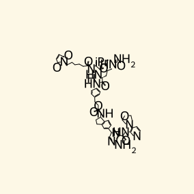 CC(C)[C@H](NC(=O)CCCCCN1C(=O)C=CC1=O)C(=O)N[C@@H](CCCNC(N)=O)C(=O)Nc1ccc(COC(=O)NC2CCc3cc(-c4cnc(N)c(C(=O)Nc5cnccc5N5CCOCC5)n4)ccc32)cc1